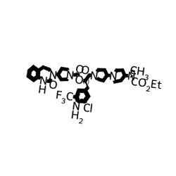 CCOC(=O)N(C)C1CCN(C2CCN(C(=O)[C@@H](Cc3cc(Cl)c(N)c(C(F)(F)F)c3)OC(=O)N3CCC(N4CCc5ccccc5NC4=O)CC3)CC2)CC1